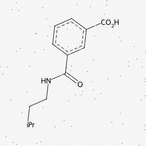 CC(C)CCNC(=O)c1cccc(C(=O)O)c1